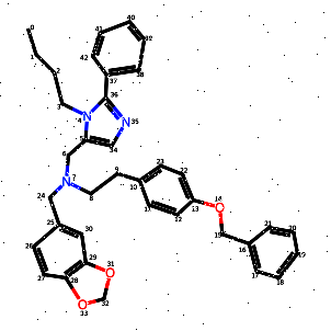 CCCCn1c(CN(CCc2ccc(OCc3ccccc3)cc2)Cc2ccc3c(c2)OCO3)cnc1-c1ccccc1